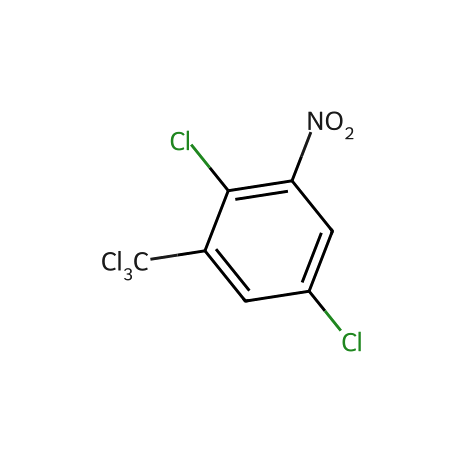 O=[N+]([O-])c1cc(Cl)cc(C(Cl)(Cl)Cl)c1Cl